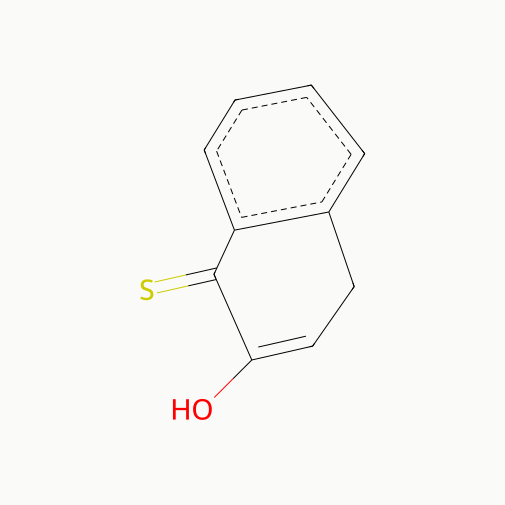 OC1=CCc2ccccc2C1=S